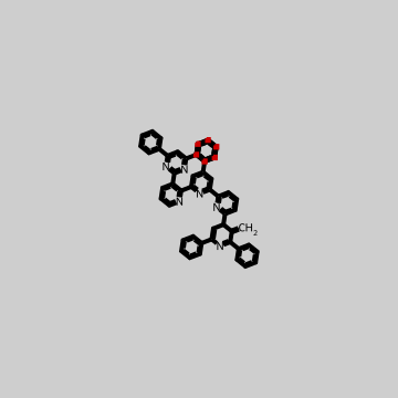 C=C1C(c2ccccc2)=NC(c2ccccc2)=CC1c1cccc(-c2cc(-c3ccccc3)cc(-c3ncccc3-c3nc(-c4ccccc4)cc(-c4ccccc4)n3)n2)n1